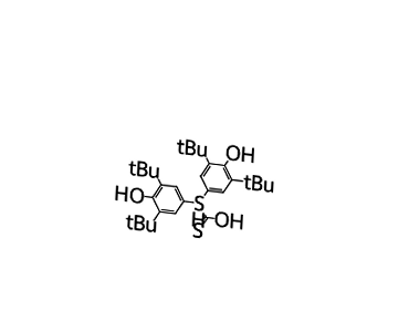 CC(C)(C)c1cc([SH](C(O)=S)c2cc(C(C)(C)C)c(O)c(C(C)(C)C)c2)cc(C(C)(C)C)c1O